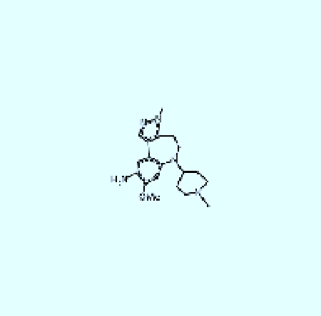 COc1cc2c(cc1N)-c1cnn(C)c1CCN2C1CCN(C)CC1